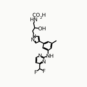 Cc1cc(Nc2nccc(C(F)F)n2)cc(-c2cnn(CC(O)CNC(=O)O)c2)c1